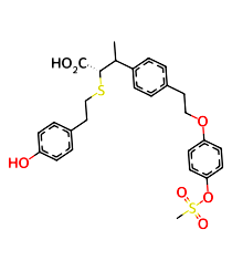 CC(c1ccc(CCOc2ccc(OS(C)(=O)=O)cc2)cc1)[C@H](SCCc1ccc(O)cc1)C(=O)O